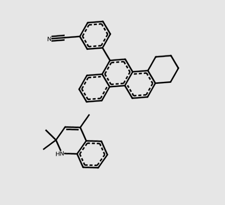 CC1=CC(C)(C)Nc2ccccc21.N#Cc1cccc(-c2cc3c4c(ccc3c3ccccc23)CCCC4)c1